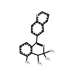 Cc1cccc2c1C(C)C(C)(C)N=C2c1ccc2ncccc2c1